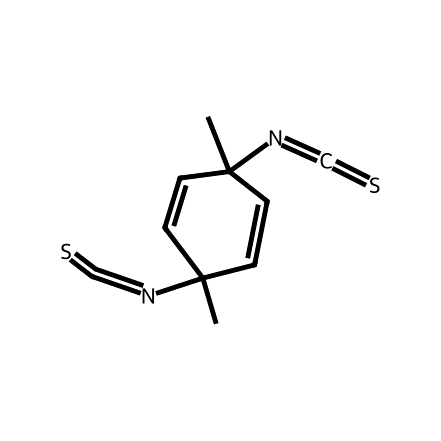 CC1(N=C=S)C=CC(C)(N=C=S)C=C1